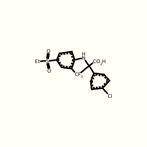 CCS(=O)(=O)c1ccc(NC(C)(C(=O)O)c2ccc(Cl)cc2)c(C(F)(F)F)c1